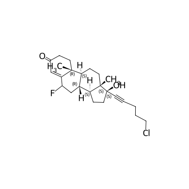 C[C@]12CCC(=O)C=C1C(F)C[C@@H]1[C@@H]2CC[C@@]2(C)[C@H]1CC[C@@]2(O)C#CCCCCl